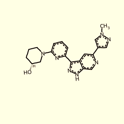 Cn1cc(-c2cc3c(-c4cccc(N5CCC[C@@H](O)C5)n4)n[nH]c3cn2)cn1